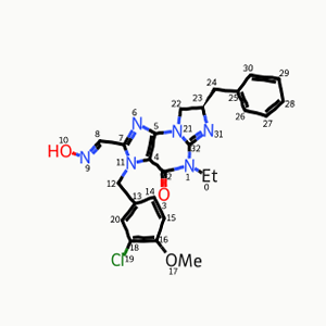 CCN1C(=O)c2c(nc(/C=N/O)n2Cc2ccc(OC)c(Cl)c2)N2C[C@@H](Cc3ccccc3)N=C12